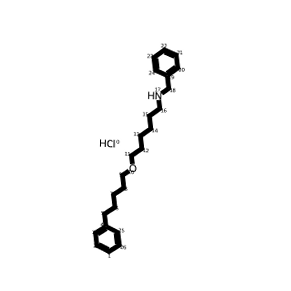 Cl.c1ccc(CCCCCOCCCCCCNCc2ccccc2)cc1